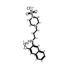 CCCOc1cc2ccccc2cc1NCCCN1CCN(S(=O)(=O)C(F)(F)F)CC1